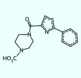 O=C(O)N1CCN(C(=O)c2csc(-c3ccccc3)n2)CC1